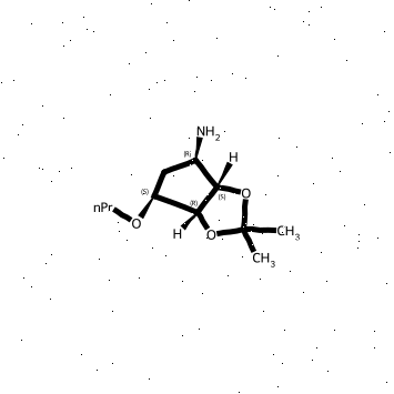 CCCO[C@H]1C[C@@H](N)[C@@H]2OC(C)(C)O[C@@H]21